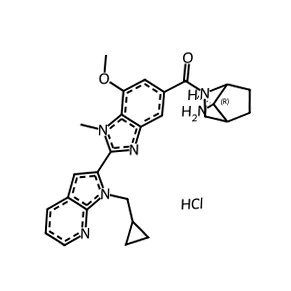 COc1cc(C(=O)N2CC3CCC2[C@@H]3N)cc2nc(-c3cc4cccnc4n3CC3CC3)n(C)c12.Cl